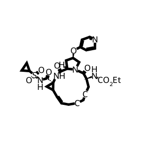 CCOC(=O)N[C@H]1CCCCC/C=C\C2C[C@@]2(C(=O)NS(=O)(=O)C2CC2)NC(=O)[C@@H]2C[C@@H](Oc3ccncc3)CN2C1=O